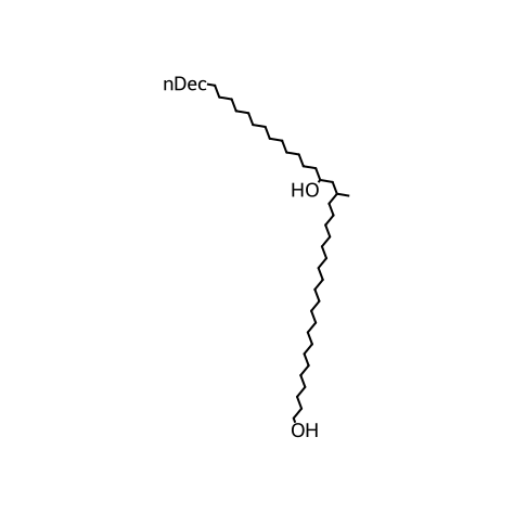 CCCCCCCCCCCCCCCCCCCCCCCC(O)CC(C)CCCCCCCCCCCCCCCCCCCCCO